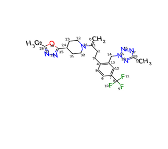 C=C(CCc1ccc(C(F)(F)F)cc1Cn1nnc(C)n1)N1CCC(c2nnc(C)o2)CC1